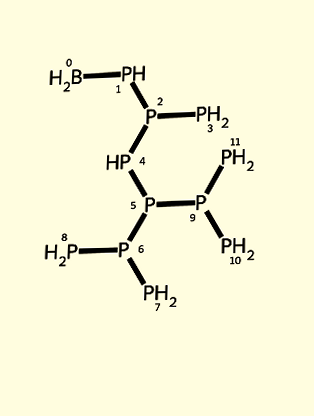 BPP(P)PP(P(P)P)P(P)P